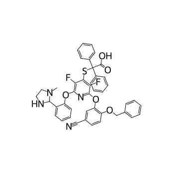 CN1CCNC1c1ccccc1Oc1nc(Oc2cc(C#N)ccc2OCc2ccccc2)c(F)c(SC(C(=O)O)(c2ccccc2)c2ccccc2)c1F